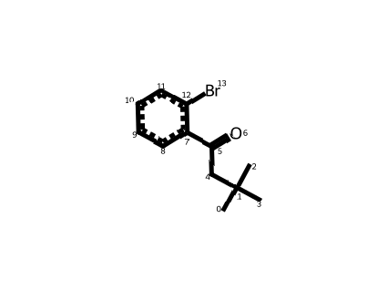 CC(C)(C)CC(=O)c1ccccc1Br